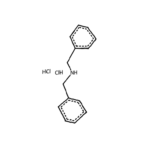 Cl.Cl.c1ccc(CNCc2ccccc2)cc1